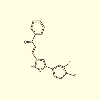 O=C(C=Cc1cc(-c2ccc(F)c(F)c2)n[nH]1)c1ccccc1